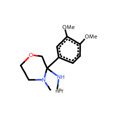 CCCNC1(c2ccc(OC)c(OC)c2)COCCN1C